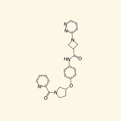 O=C(Nc1ccc(OC2CCN(C(=O)c3ccccn3)C2)cc1)C1CN(c2cccnn2)C1